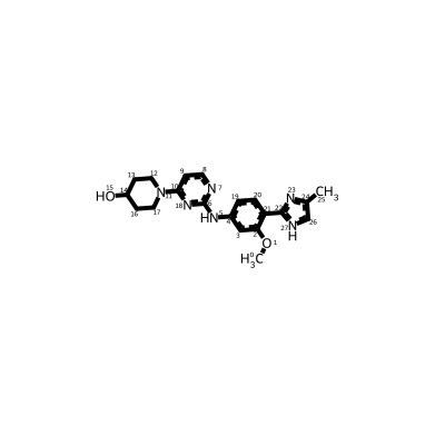 COc1cc(Nc2nccc(N3CCC(O)CC3)n2)ccc1-c1nc(C)c[nH]1